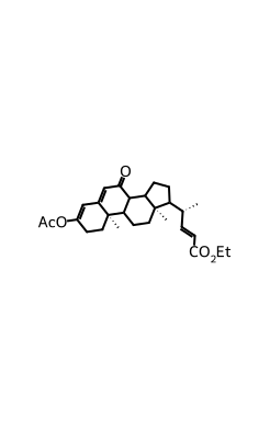 CCOC(=O)/C=C/[C@@H](C)C1CCC2C3C(=O)C=C4C=C(OC(C)=O)CC[C@]4(C)C3CC[C@@]21C